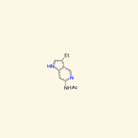 CCc1c[nH]c2cc(NC(C)=O)ncc12